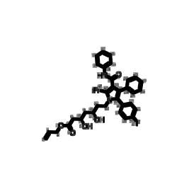 C=CCOC(=O)C[C@H](O)C[C@H](O)CCn1c(-c2ccc(F)cc2)c(-c2ccccc2)c(C(=O)Nc2ccccc2)c1C(C)C